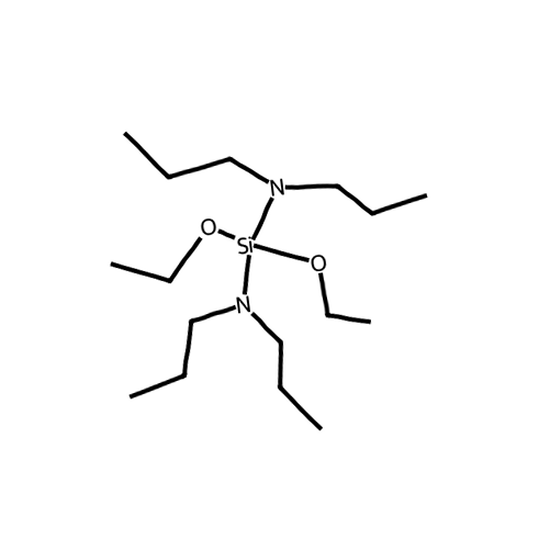 CCCN(CCC)[Si](OCC)(OCC)N(CCC)CCC